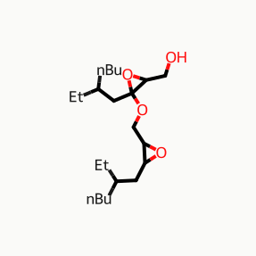 CCCCC(CC)CC1OC1COC1(CC(CC)CCCC)OC1CO